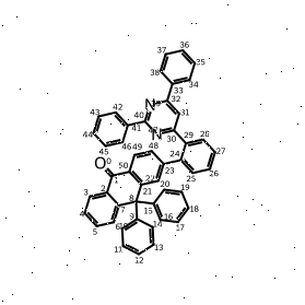 O=C1c2ccccc2C(c2ccccc2)(c2ccccc2)c2cc(-c3ccccc3-c3cc(-c4ccccc4)nc(-c4ccccc4)n3)ccc21